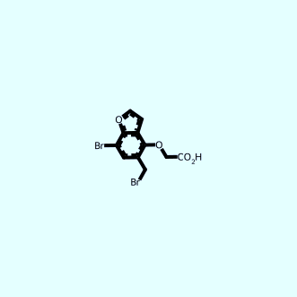 O=C(O)COc1c(CBr)cc(Br)c2occc12